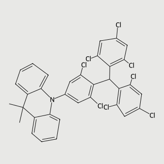 CC1(C)c2ccccc2N(c2cc(Cl)c(C(c3c(Cl)cc(Cl)cc3Cl)c3c(Cl)cc(Cl)cc3Cl)c(Cl)c2)c2ccccc21